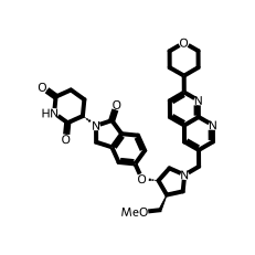 COC[C@@H]1CN(Cc2cnc3nc(C4CCOCC4)ccc3c2)C[C@H]1Oc1ccc2c(c1)CN([C@H]1CCC(=O)NC1=O)C2=O